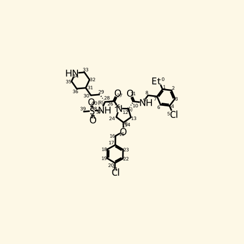 CCc1ccc(Cl)cc1CNC(=O)[C@@H]1C[C@@H](OCc2ccc(Cl)cc2)CN1C(=O)[C@@H](CCC1CCNCC1)NS(C)(=O)=O